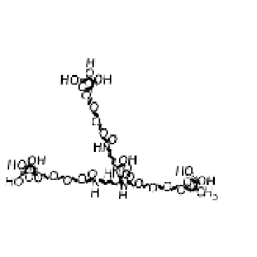 C[C@@H]1C[C@H](OCCOCCOCCOCC(=O)N[C@@H](CCCCNC(=O)COCCOCCOCCO[C@H]2C[C@@H](O)[C@@H](O)[C@@H](CO)O2)C(=O)N[C@@H](CCCCNC(=O)COCCOCCOCCO[C@H]2C[C@@H](O)[C@@H](O)[C@@H](CO)O2)C(=O)O)O[C@H](CO)[C@@H]1O